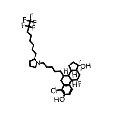 C[C@]12C[C@H](F)[C@@H]3c4ccc(O)c(Cl)c4CC(CCCCCN4CCC[C@H]4CCCCCCC(F)(F)C(F)(F)F)[C@H]3[C@@H]1CC[C@@]2(C)O